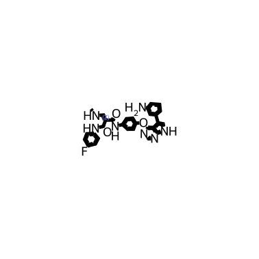 CN/C=C(\C(=O)Nc1ccc(F)cc1)C(=O)Nc1ccc(Oc2ncnc3[nH]cc(-c4cccc(N)c4)c23)cc1